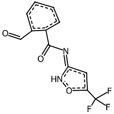 O=Cc1ccccc1C(=O)N=c1cc(C(F)(F)F)o[nH]1